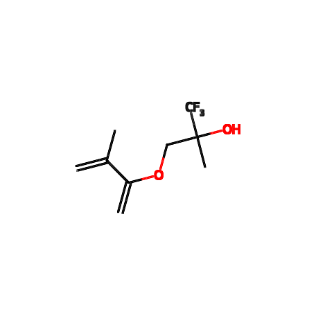 C=C(C)C(=C)OCC(C)(O)C(F)(F)F